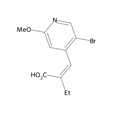 CCC(=Cc1cc(OC)ncc1Br)C(=O)O